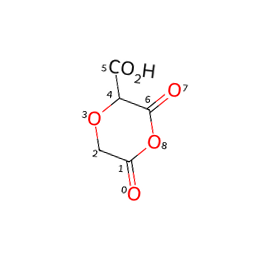 O=C1COC(C(=O)O)C(=O)O1